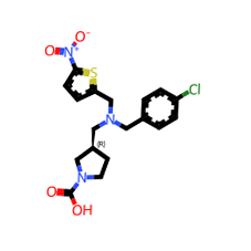 O=C(O)N1CC[C@H](CN(Cc2ccc(Cl)cc2)Cc2ccc([N+](=O)[O-])s2)C1